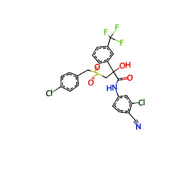 N#Cc1ccc(NC(=O)C(O)(CS(=O)(=O)Cc2ccc(Cl)cc2)c2cccc(C(F)(F)F)c2)cc1Cl